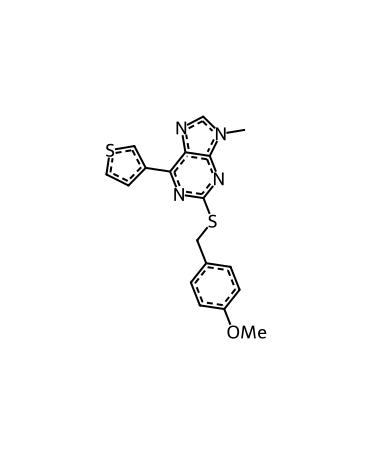 COc1ccc(CSc2nc(-c3ccsc3)c3ncn(C)c3n2)cc1